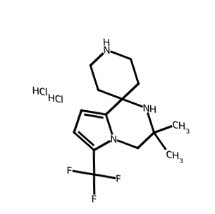 CC1(C)Cn2c(C(F)(F)F)ccc2C2(CCNCC2)N1.Cl.Cl